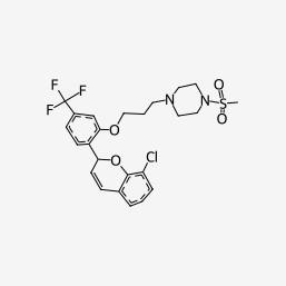 CS(=O)(=O)N1CCN(CCCOc2cc(C(F)(F)F)ccc2C2C=Cc3cccc(Cl)c3O2)CC1